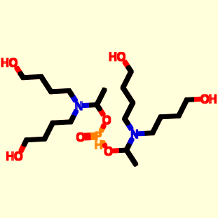 CC(O[PH](=O)OC(C)N(CCCCO)CCCCO)N(CCCCO)CCCCO